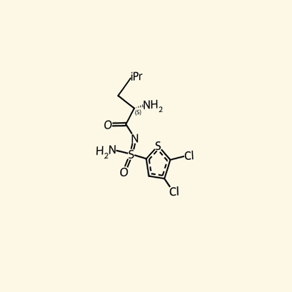 CC(C)C[C@H](N)C(=O)N=S(N)(=O)c1cc(Cl)c(Cl)s1